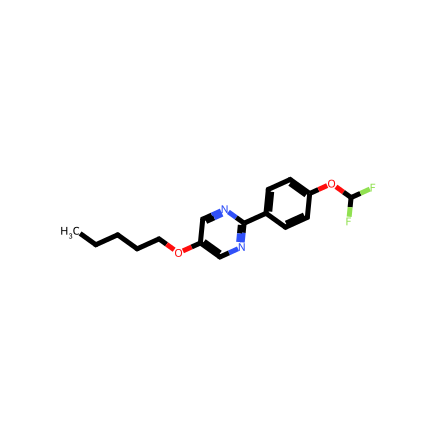 CCCCCOc1cnc(-c2ccc(OC(F)F)cc2)nc1